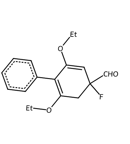 CCOC1=CC(F)(C=O)CC(OCC)=C1c1ccccc1